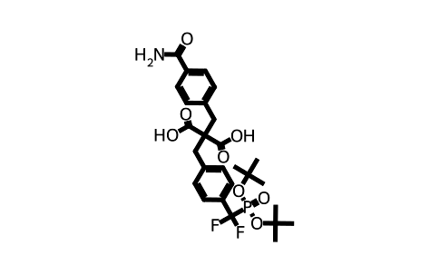 CC(C)(C)OP(=O)(OC(C)(C)C)C(F)(F)c1ccc(CC(Cc2ccc(C(N)=O)cc2)(C(=O)O)C(=O)O)cc1